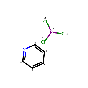 ClP(Cl)Cl.c1ccncc1